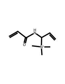 C=CC(=O)NC(C=C)[N+](C)(C)C